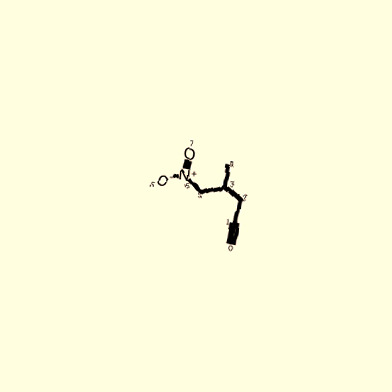 C#CCC(C)C[N+](=O)[O-]